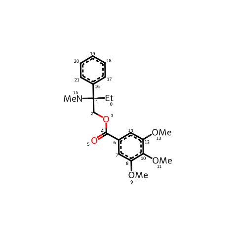 CC[C@@](COC(=O)c1cc(OC)c(OC)c(OC)c1)(NC)c1ccccc1